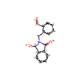 O=Cc1ccccc1CN1C(=O)c2ccccc2C1=O